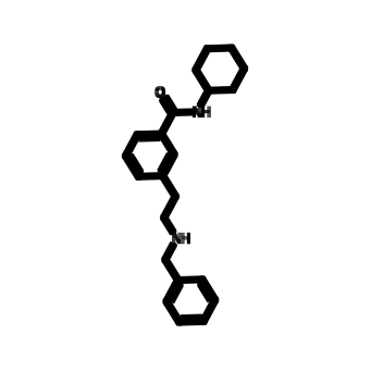 O=C(NC1CCCCC1)c1cccc(CCNCc2ccccc2)c1